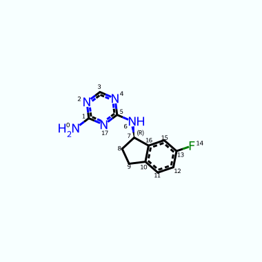 Nc1ncnc(N[C@@H]2CCc3ccc(F)cc32)n1